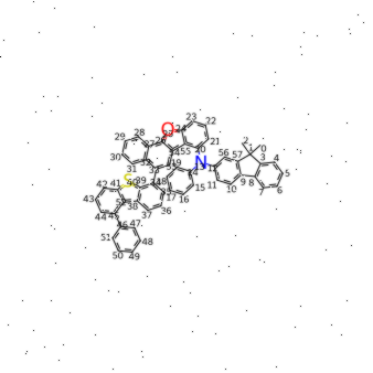 CC1(C)c2ccccc2-c2ccc(N(c3ccccc3)c3cccc4oc5c6ccccc6c(-c6cccc7c6sc6cccc(-c8ccccc8)c67)cc5c34)cc21